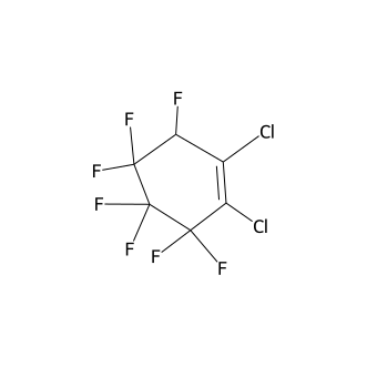 FC1C(Cl)=C(Cl)C(F)(F)C(F)(F)C1(F)F